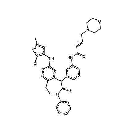 Cn1cc(Nc2ncc3c(n2)N(c2cccc(NC(=O)/C=C/CN4CCOCC4)c2)C(=O)N(c2ccccc2)CC3)c(Cl)n1